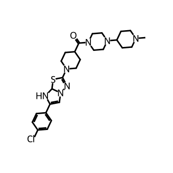 CN1CCC(N2CCN(C(=O)C3CCN(C4=NN5C=C(c6ccc(Cl)cc6)NC5S4)CC3)CC2)CC1